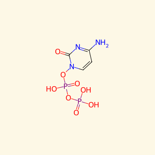 Nc1ccn(OP(=O)(O)OP(=O)(O)O)c(=O)n1